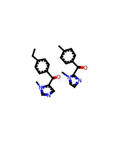 CCc1ccc(C(=O)c2cncn2C)cc1.Cc1ccc(C(=O)c2nccn2C)cc1